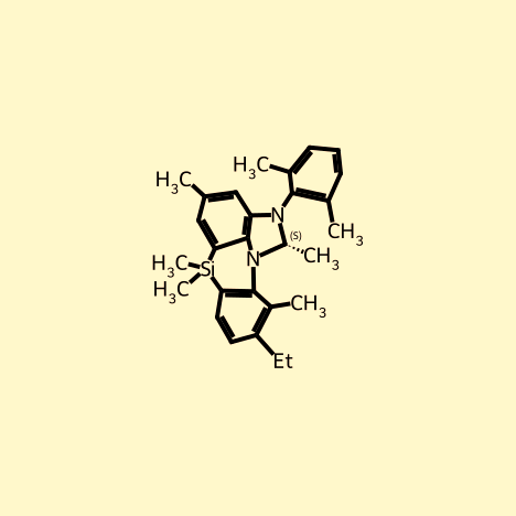 CCc1ccc2c(c1C)N1c3c(cc(C)cc3[Si]2(C)C)N(c2c(C)cccc2C)[C@@H]1C